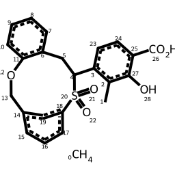 C.Cc1c(C2Cc3ccccc3OCc3cccc(c3)S2(=O)=O)ccc(C(=O)O)c1O